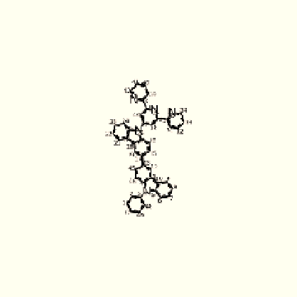 c1ccc(-n2c3ccccc3c3cc(-c4ccc5c(c4)c4ccccc4n5-c4cc(-c5ccccn5)nc(-c5ccccn5)c4)ccc32)cc1